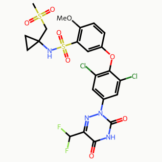 COc1ccc(Oc2c(Cl)cc(-n3nc(C(F)F)c(=O)[nH]c3=O)cc2Cl)cc1S(=O)(=O)NC1(CS(C)(=O)=O)CC1